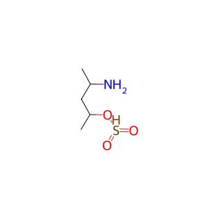 CC(N)CC(C)O[SH](=O)=O